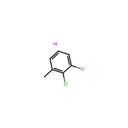 Cc1cccc(Cl)c1Cl.I